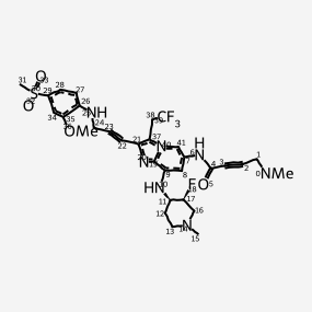 CNCC#CC(=O)Nc1cc(N[C@@H]2CCN(C)C[C@@H]2F)c2nc(C#CCNc3ccc(S(C)(=O)=O)cc3OC)c(CC(F)(F)F)n2c1